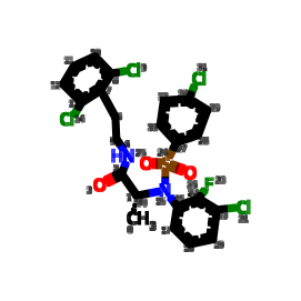 C[C@H](C(=O)NCCc1c(Cl)cccc1Cl)N(c1cccc(Cl)c1F)S(=O)(=O)c1ccc(Cl)cc1